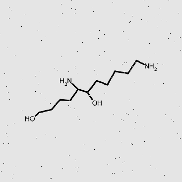 NCCCCCC(O)C(N)CCCCO